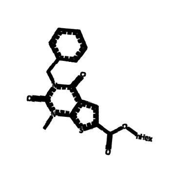 CCCCCCOC(=O)c1cc2c(=O)n(Cc3ccccc3)c(=O)n(C)c2s1